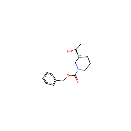 CC(O)[C@H]1CCCN(C(=O)OCc2ccccc2)C1